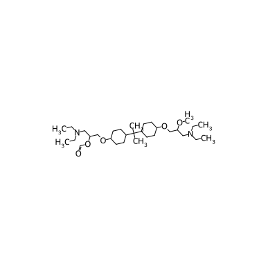 CCN(CC)CC(COC1CCC(C(C)(C)C2CCC(OCC(CN(CC)CC)OC=O)CC2)CC1)OC